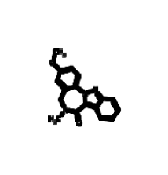 COc1ccc2c(c1)CN(C)C(=O)c1c3ccccc3nn1-2